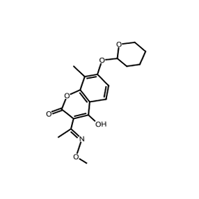 CON=C(C)c1c(O)c2ccc(OC3CCCCO3)c(C)c2oc1=O